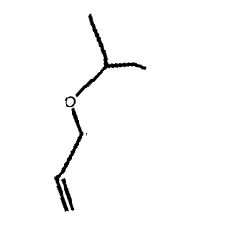 C=C[CH]OC(C)C